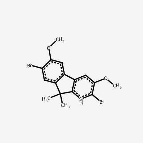 COc1cc2c(cc1Br)C(C)(C)c1[siH]c(Br)c(OC)cc1-2